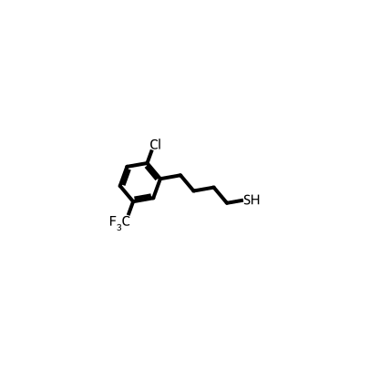 FC(F)(F)c1ccc(Cl)c(CCCCS)c1